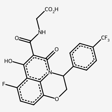 O=C(O)CNC(=O)c1c(O)c2c(F)ccc3c2n(c1=O)C(c1ccc(C(F)(F)F)cc1)CO3